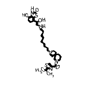 CC(C)c1nc(C(=O)N2CCCC3(CCN(CCCCCCCCCNC[C@H](O)c4ccc(O)c5[nH]c(=O)sc45)CC3)C2)cs1